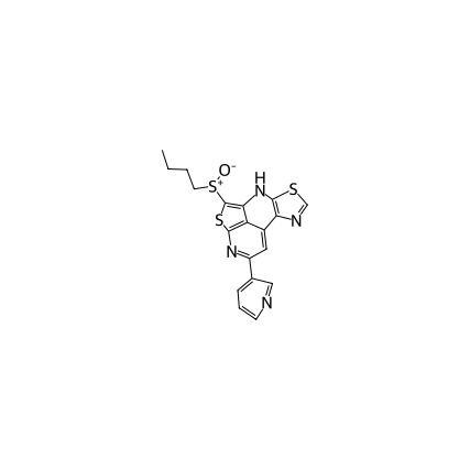 CCCC[S+]([O-])c1sc2nc(-c3cccnc3)cc3c2c1Nc1scnc1-3